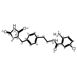 Nc1ccc(Cl)cc1C(=O)NCCc1ccc(C[C@H]2SC(=O)NC2=O)cc1